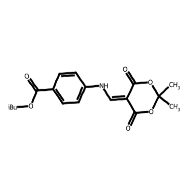 CCC(C)OC(=O)c1ccc(NC=C2C(=O)OC(C)(C)OC2=O)cc1